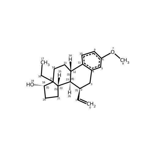 C=C[C@@H]1Cc2cc(OC)ccc2[C@H]2CCC3(CC)[C@@H](O)CC[C@H]3[C@H]12